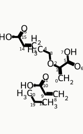 C=C(OCC)C(=O)O.C=CC(=O)O.C=CC(=O)O.CCC